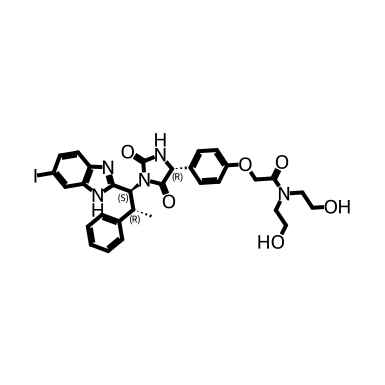 C[C@H](c1ccccc1)[C@@H](c1nc2ccc(I)cc2[nH]1)N1C(=O)N[C@H](c2ccc(OCC(=O)N(CCO)CCO)cc2)C1=O